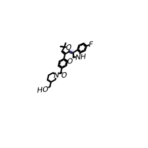 CC1(C)C=C(c2ccc(C(=O)N3CCCC(CO)C3)cc2)/C(=C2\C(=O)Nc3cc(F)ccc32)O1